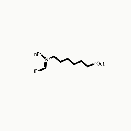 CCCCCCCCCCCCCC[N+](=CC(C)C)CCC